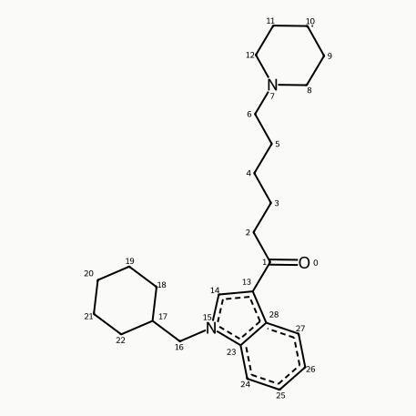 O=C(CCCCCN1CC[CH]CC1)c1cn(CC2CCCCC2)c2ccccc12